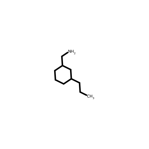 CCCC1CCCC(CN)C1